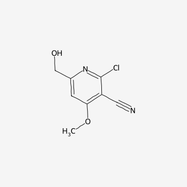 COc1cc(CO)nc(Cl)c1C#N